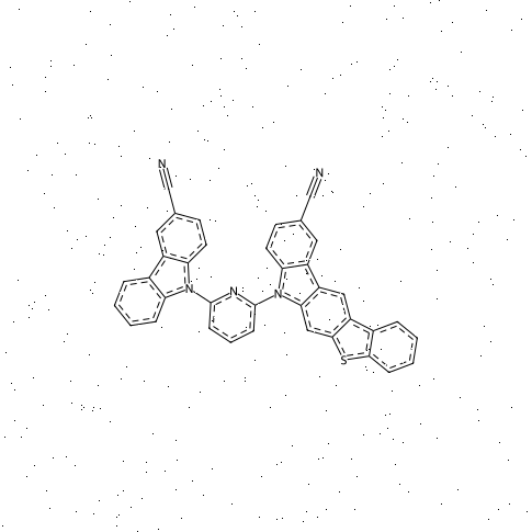 N#Cc1ccc2c(c1)c1ccccc1n2-c1cccc(-n2c3ccc(C#N)cc3c3cc4c(cc32)sc2ccccc24)n1